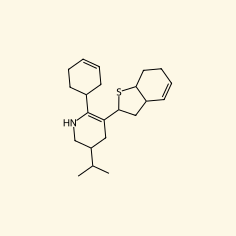 CC(C)C1CNC(C2CC=CCC2)=C(C2CC3C=CCCC3S2)C1